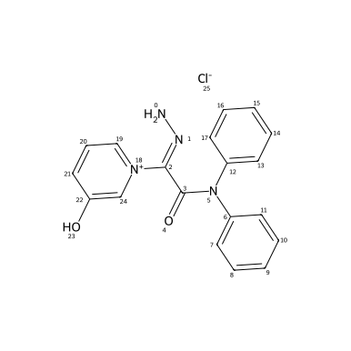 NN=C(C(=O)N(c1ccccc1)c1ccccc1)[n+]1cccc(O)c1.[Cl-]